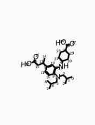 CC(C)CN(CC(C)C)c1ccc(C(C)CC(=O)O)cc1NC1CCC(C(=O)O)CC1